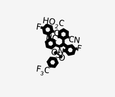 N#Cc1cccc(C#N)c1-c1c(-c2cccc(-c3cc(F)c(C(=O)O)cc3Cl)c2)n(S(=O)(=O)c2ccc(C(F)(F)F)cc2)c2ccc(F)cc12